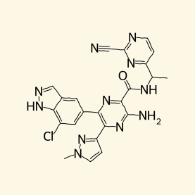 CC(NC(=O)c1nc(-c2cc(Cl)c3[nH]ncc3c2)c(-c2ccn(C)n2)nc1N)c1ccnc(C#N)n1